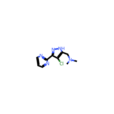 CN(C)Cc1[nH]nc(-c2ncccn2)c1Cl